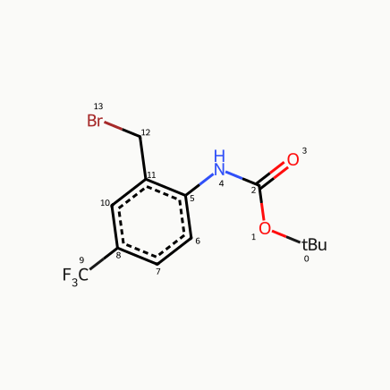 CC(C)(C)OC(=O)Nc1ccc(C(F)(F)F)cc1CBr